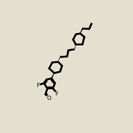 CCC[C@H]1CC[C@H](CCCC[C@H]2CC[C@H](c3cc(F)c(C=O)c(F)c3)CC2)CC1